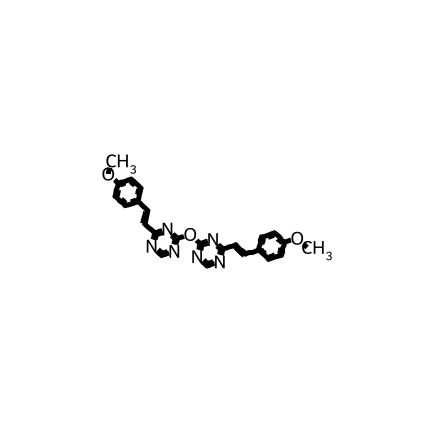 COc1ccc(C=Cc2ncnc(Oc3ncnc(C=Cc4ccc(OC)cc4)n3)n2)cc1